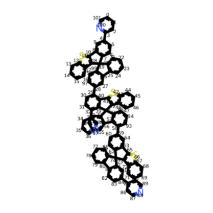 c1ccc(-c2ccc3c(c2)-c2sc4ccccc4c2C32c3ccccc3-c3cc(-c4ccc(-c5cccnc5)c5c4-c4sc6ccccc6c4C54c5ccccc5-c5c(-c6ccc7c(c6)-c6sc8ccccc8c6C76c7ccccc7-c7ccc(-c8ccncc8)cc76)cccc54)ccc32)nc1